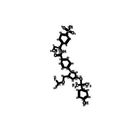 CCS(=O)(=O)c1ccc([C@H](CC#N)NC(=O)c2ccc(N3C[C@@H](OC(c4ccc(O)cc4)(C(F)(F)F)C(F)(F)F)CC3COC(F)F)cc2)cc1